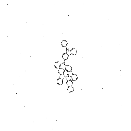 c1ccc(N(c2ccc3c(c2)c2ccccc2n3-c2ccccc2)c2ccc3c4ccccc4n(C4(c5ccc6ccccc6c5)c5ccccc5-c5ccccc54)c3c2)cc1